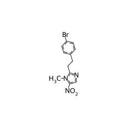 Cn1c([N+](=O)[O-])cnc1CCc1ccc(Br)cc1